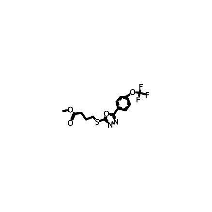 COC(=O)CCCSc1nnc(-c2ccc(OC(F)(F)F)cc2)o1